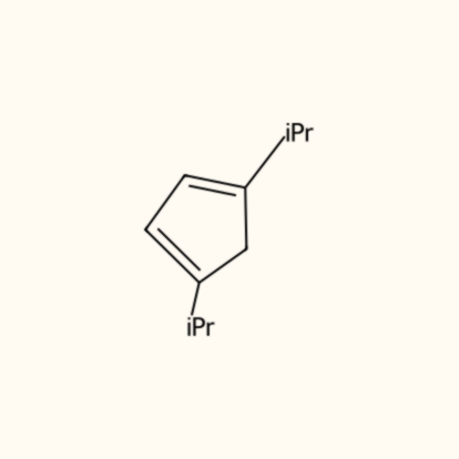 CC(C)C1=CC=C(C(C)C)C1